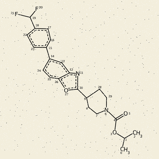 CC(C)OC(=O)N1CCC(c2nc3cc(-c4ccc(C(F)F)cc4)ccc3o2)CC1